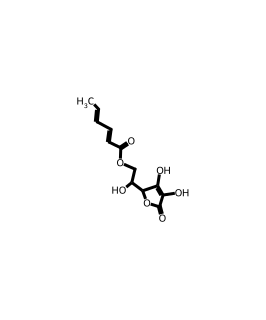 C/C=C/C=C/C(=O)OCC(O)C1OC(=O)C(O)=C1O